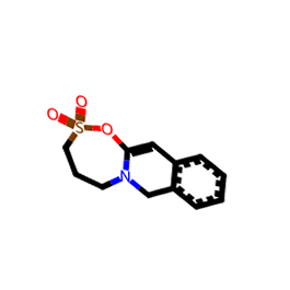 O=S1(=O)CCCN2Cc3ccccc3C=C2O1